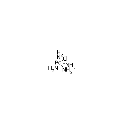 [NH2][Pd]([NH2])([NH2])([NH2])[Cl]